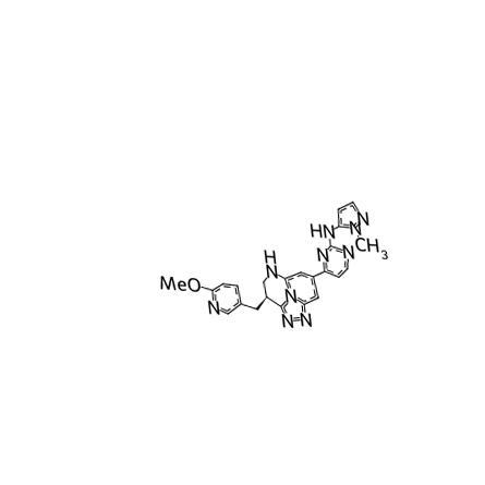 COc1ccc(C[C@H]2CNc3cc(-c4ccnc(Nc5ccnn5C)n4)cc4nnc2n34)cn1